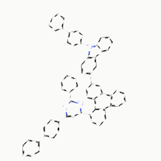 c1ccc(-c2ccc(-c3cc(-c4cccc5c6ccccc6c6cc(-c7ccc8c(c7)c7ccccc7n8-c7ccc(-c8ccccc8)cc7)ccc6c45)nc(-c4ccccc4)n3)cc2)cc1